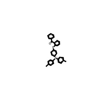 Cc1ccc([S+](c2ccc(C)cc2)c2ccc(Sc3ccccc3C(=O)c3ccccc3)cc2)cc1